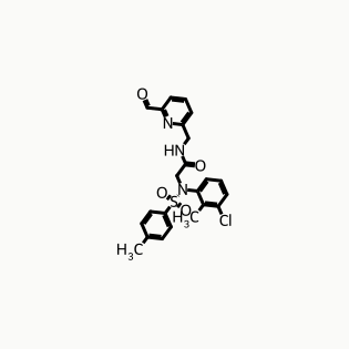 Cc1ccc(S(=O)(=O)N(CC(=O)NCc2cccc(C=O)n2)c2cccc(Cl)c2C)cc1